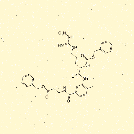 Cc1ccc(C(=O)NCCC(=O)OCc2ccccc2)cc1NC(=O)[C@H](CCCNC(=N)N[N+](=O)[O-])NC(=O)OCc1ccccc1